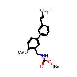 COc1ccc(-c2cccc(/C=C/C(=O)O)c2)cc1CNC(=O)OC(C)(C)C